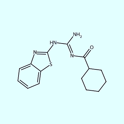 NC(=NC(=O)C1CCCCC1)Nc1nc2ccccc2s1